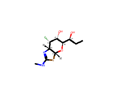 CC[C@H](O)[C@H]1O[C@@H]2SC(NC)=N[C@@H]2[C@H](F)[C@@H]1O